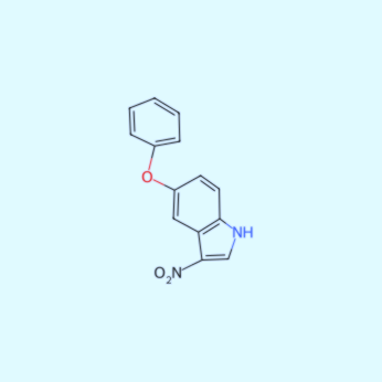 O=[N+]([O-])c1c[nH]c2ccc(Oc3ccccc3)cc12